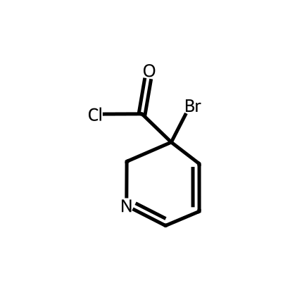 O=C(Cl)C1(Br)C=CC=NC1